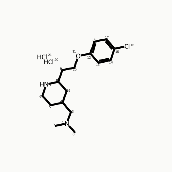 CN(C)CC1CCNC(CCOc2ccc(Cl)cc2)C1.Cl.Cl